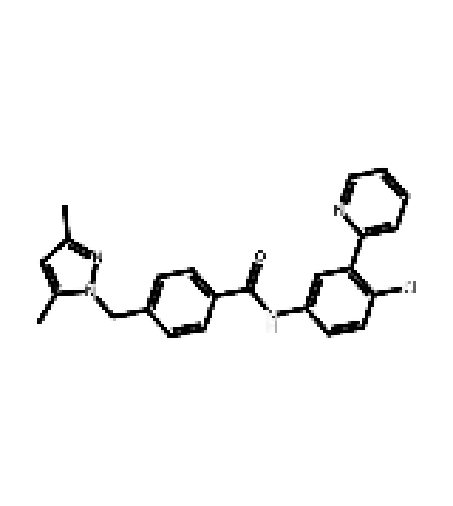 Cc1cc(C)n(Cc2ccc(C(=O)Nc3ccc(Cl)c(-c4ccccn4)c3)cc2)n1